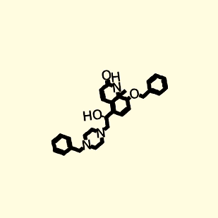 CC12NC(=O)C=CC1=C([C@@H](O)CN1CCN(Cc3ccccc3)CC1)C=CC2OCc1ccccc1